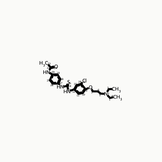 CCN(CC)CCCOc1ccc(NC(=S)Nc2ccc(NC(C)=O)cc2)cc1Cl